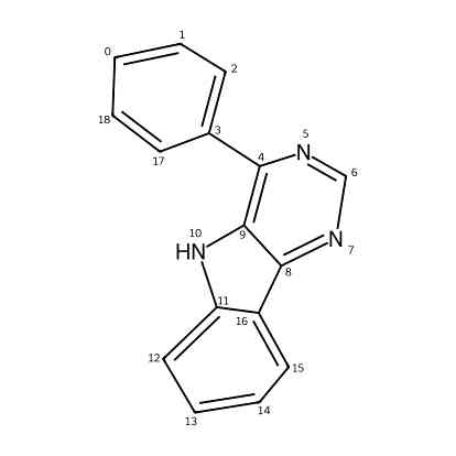 c1ccc(-c2ncnc3c2[nH]c2ccccc23)cc1